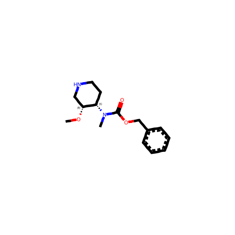 CO[C@@H]1CNCC[C@@H]1N(C)C(=O)OCc1ccccc1